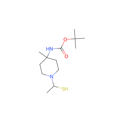 CC(S)N1CCC(C)(NC(=O)OC(C)(C)C)CC1